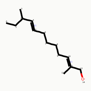 CCC(C)/C=C/CCCC/C=C(\C)C[O]